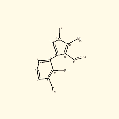 Cn1nc(-c2cccc(F)c2F)c(C=O)c1Br